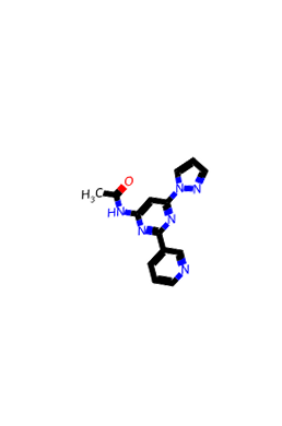 CC(=O)Nc1cc(-n2cccn2)nc(-c2cccnc2)n1